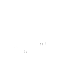 CC(C)Nc1noc2c1CCCC2